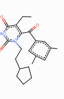 CCc1c(C(=O)c2cc(C)cc(C)c2)n(CCC2CCCC2)c(=O)[nH]c1=O